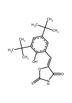 CC(C)(C)c1cc(/C=C2\OC(=S)NC2=O)c(O)c(C(C)(C)C)c1